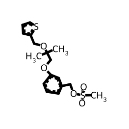 CC(C)(COc1cccc(COS(C)(=O)=O)c1)OCc1cccs1